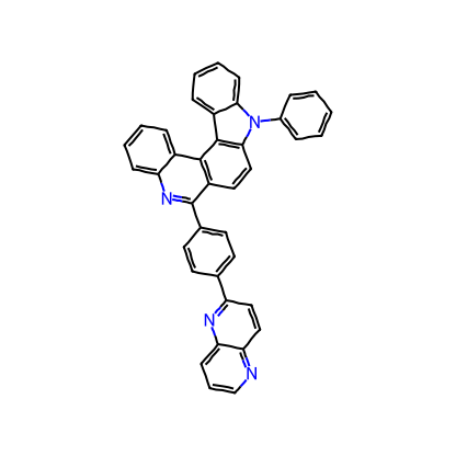 c1ccc(-n2c3ccccc3c3c4c(ccc32)c(-c2ccc(-c3ccc5ncccc5n3)cc2)nc2ccccc24)cc1